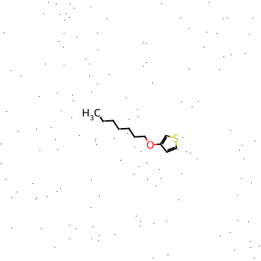 CCCCCCCOc1ccsc1